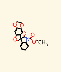 CCOC(=O)N1C(=O)C2(COc3cc4c(cc32)OCCO4)c2ccccc21